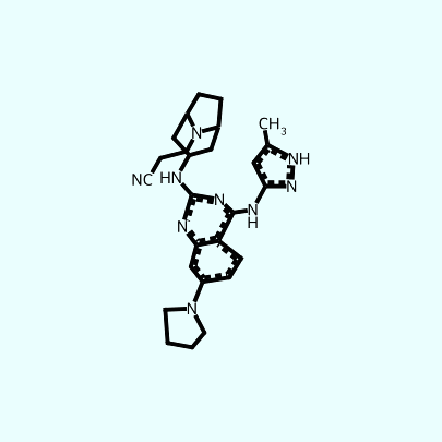 Cc1cc(Nc2nc(NC3CC4CCC(C3)N4CCC#N)nc3cc(N4CCCC4)ccc23)n[nH]1